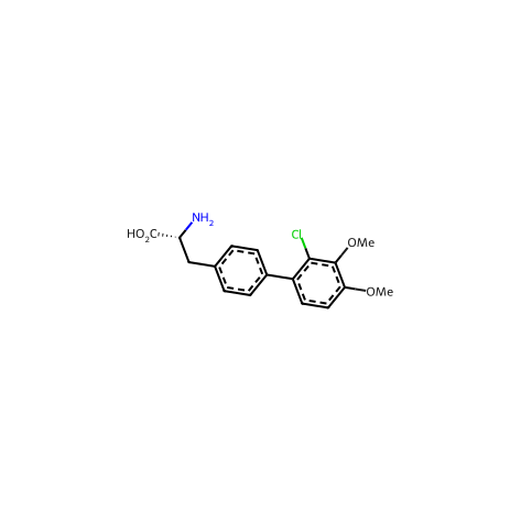 COc1ccc(-c2ccc(C[C@@H](N)C(=O)O)cc2)c(Cl)c1OC